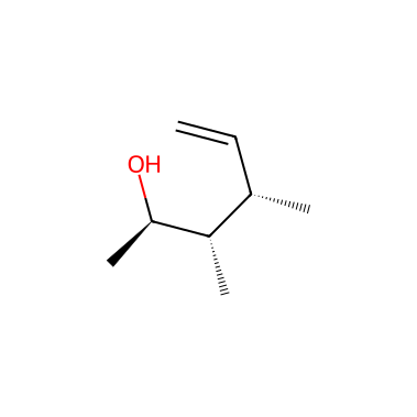 C=C[C@H](C)[C@H](C)[C@@H](C)O